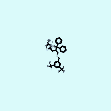 Nc1noc(CC(COCc2cc(C(F)(F)F)cc(C(F)(F)F)c2)C(N)(c2ccccc2)c2ccccc2)n1